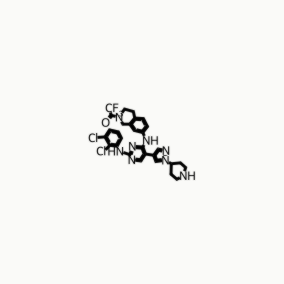 O=C(N1CCc2ccc(Nc3nc(Nc4cccc(Cl)c4Cl)ncc3-c3cnn(C4CCNCC4)c3)cc2C1)C(F)(F)F